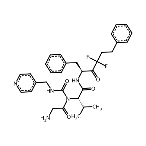 CC(C)[C@@H](C(=O)N[C@@H](Cc1ccccc1)C(=O)C(F)(F)CCc1ccccc1)N(C(=O)CN)C(=O)NCc1ccncc1